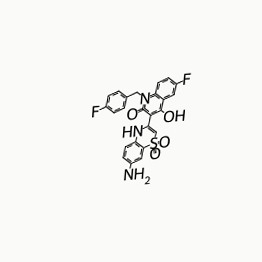 Nc1ccc2c(c1)S(=O)(=O)C=C(c1c(O)c3cc(F)ccc3n(Cc3ccc(F)cc3)c1=O)N2